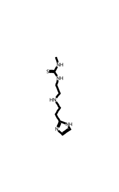 CNC(=S)NCCNCCc1ncc[nH]1